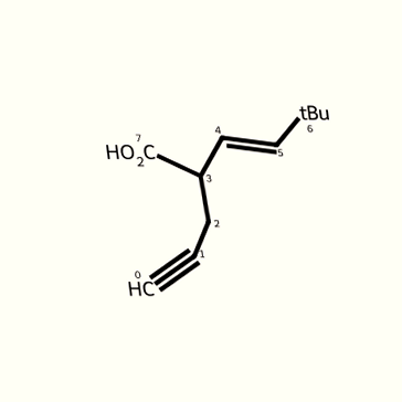 C#CCC(C=CC(C)(C)C)C(=O)O